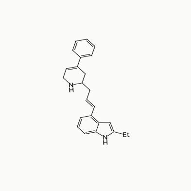 CCc1cc2c(/C=C/CC3CC(c4ccccc4)=CCN3)cccc2[nH]1